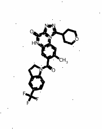 Cc1cc2c(cc1C(=O)N1CCc3cc(C(F)(F)F)ccc31)[nH]c(=O)c1nnc(C3CCOCC3)n12